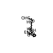 CCNC(=O)C(Cc1ccccc1)C(=O)CNC(=O)CCCCCNC(=O)C(C)CC=O